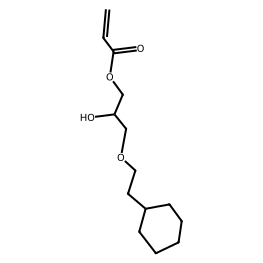 C=CC(=O)OCC(O)COCCC1CCCCC1